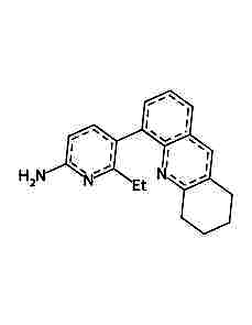 CCc1nc(N)ccc1-c1cccc2cc3c(nc12)CCCC3